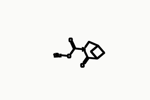 CC(C)(C)OC(=O)N1CC2CC(C2)C1=O